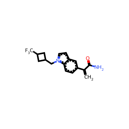 C=C(C(N)=O)c1ccc2c(ccn2CC2CC(C(F)(F)F)C2)c1